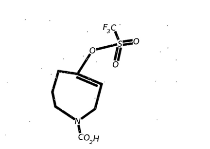 O=C(O)N1CC=C(OS(=O)(=O)C(F)(F)F)CCC1